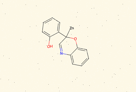 Oc1ccccc1[C]1([Zn])C=Nc2ccccc2O1